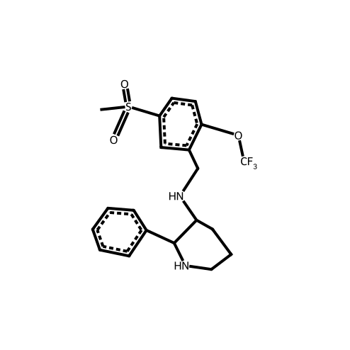 CS(=O)(=O)c1ccc(OC(F)(F)F)c(CNC2CCCNC2c2ccccc2)c1